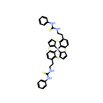 Fc1ccc(CCNC(=S)Nc2ccccc2)c(F)[c]1[Ti]([C]1=CC=CC1)([C]1=CC=CC1)[c]1c(F)ccc(CCNC(=S)Nc2ccccc2)c1F